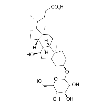 C[C@H](CCC(=O)O)[C@H]1CC[C@H]2[C@@H]3[C@H](O)CC4C[C@H](OC5O[C@H](CO)[C@@H](O)[C@H](O)[C@H]5O)CC[C@]4(C)[C@H]3CC[C@]12C